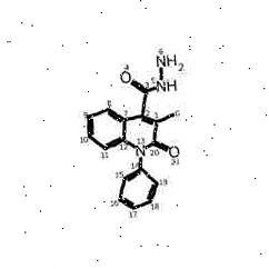 Cc1c(C(=O)NN)c2ccccc2n(-c2ccccc2)c1=O